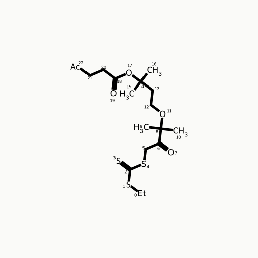 CCSC(=S)SCC(=O)C(C)(C)OCCC(C)(C)OC(=O)CCC(C)=O